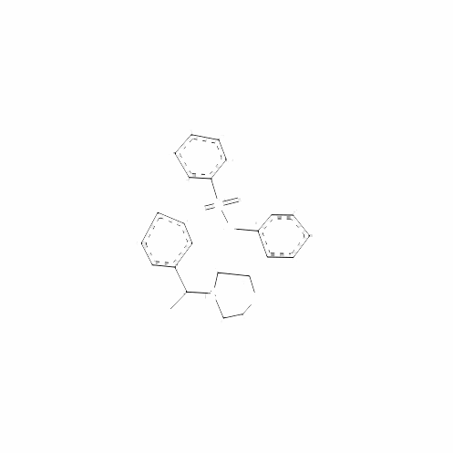 CC(c1ccccc1)N1CCO[C@@H](c2ccccc2OS(=O)(=O)c2ccccc2)C1